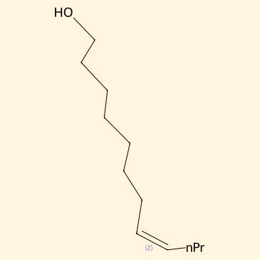 CCC/C=C\CCCCCCCO